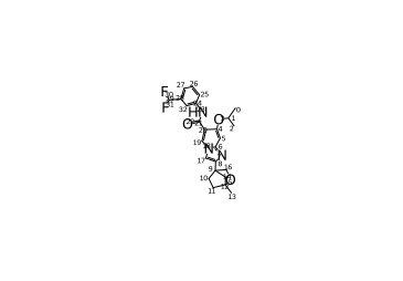 CC(C)Oc1cc2nc(C34CCC(C)(C3)OC4)cn2cc1C(=O)Nc1cccc(C(F)F)c1